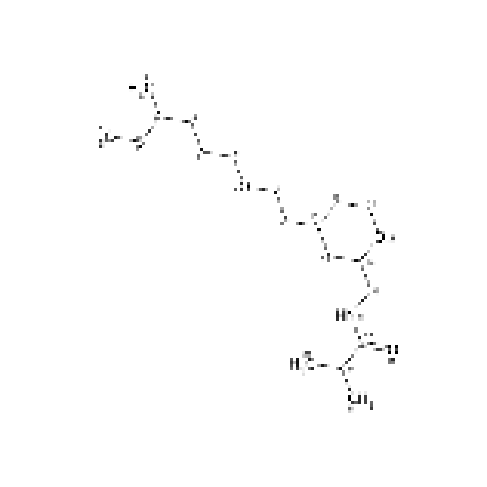 CSC(C)CCCOCCN1CCOC(CNC(=O)C(C)C)C1